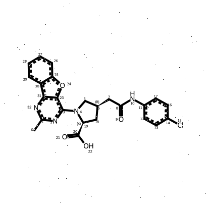 Cc1nc(N2C[C@@H](CC(=O)Nc3ccc(Cl)cc3)C[C@H]2C(=O)O)c2oc3ccccc3c2n1